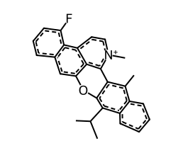 Cc1c2c(c(C(C)C)c3ccccc13)Oc1cc3cccc(F)c3c3cc[n+](C)c-2c13